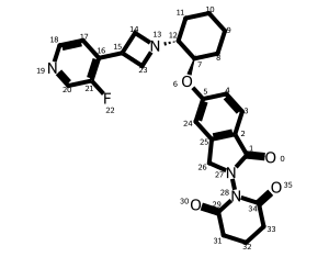 O=C1c2ccc(O[C@@H]3CCCC[C@H]3N3CC(c4ccncc4F)C3)cc2CN1N1C(=O)CCCC1=O